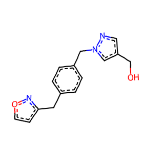 OCc1cnn(Cc2ccc(Cc3ccon3)cc2)c1